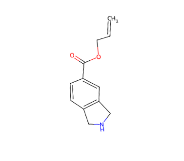 C=CCOC(=O)c1ccc2c(c1)CNC2